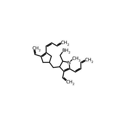 BCC1C(CC2CC(C=C)=C(/C=C\C=C)C2)C(C=C)=C(/C=C\C=C)N1C